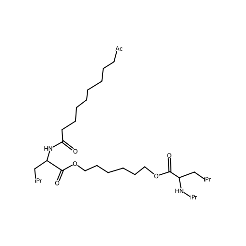 CC(=O)CCCCCCCCC(=O)NC(CC(C)C)C(=O)OCCCCCCOC(=O)C(CC(C)C)NC(C)C